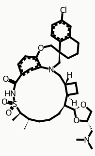 C[C@@H]1[C@@H](C)CCC[C@H]([C@@H]2OC[C@H](CN(C)C)O2)[C@@H]2CC[C@H]2CN2C[C@@]3(CCCc4cc(Cl)ccc43)COc3ccc(cc32)C(=O)NS1(=O)=O